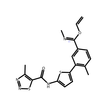 C=CO/C(=N\C)c1ccc(C)c(-c2ccc(NC(=O)c3snnc3C)s2)c1